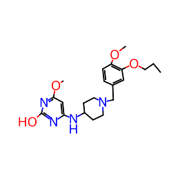 CCCOc1cc(CN2CCC(Nc3cc(OC)nc(O)n3)CC2)ccc1OC